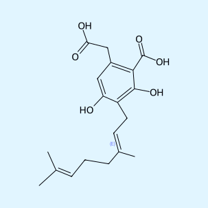 CC(C)=CCC/C(C)=C/Cc1c(O)cc(CC(=O)O)c(C(=O)O)c1O